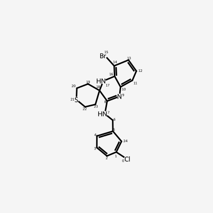 Clc1cccc(CNC2=Nc3cccc(Br)c3NC23CCSCC3)c1